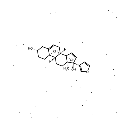 C[C@]12CC[C@H]3[C@@H](CC=C4C[C@@H](O)CC[C@@]43C)[C@@]1(O)C=C[C@]2(O)c1ccoc1